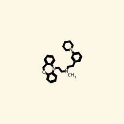 CN(CCc1cccc(N2CCCCC2)c1)CCN1c2ccccc2COc2ccccc21